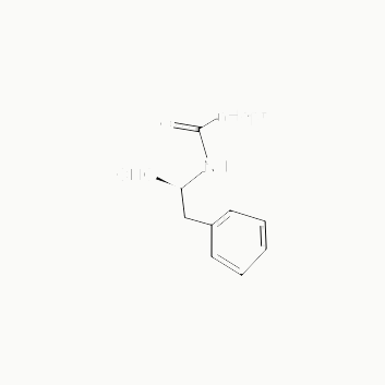 CCCCCCCC(=O)N[C@H](C=O)Cc1ccccc1